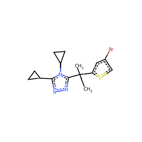 CC(C)(c1cc(Br)cs1)c1nnc(C2CC2)n1C1CC1